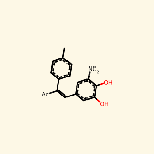 CC(=O)C(=Cc1cc(O)c(O)c([N+](=O)[O-])c1)c1ccc(C)cc1